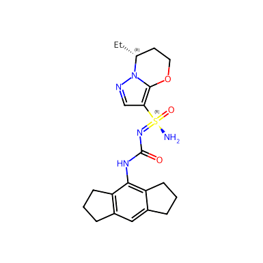 CC[C@@H]1CCOc2c([S@](N)(=O)=NC(=O)Nc3c4c(cc5c3CCC5)CCC4)cnn21